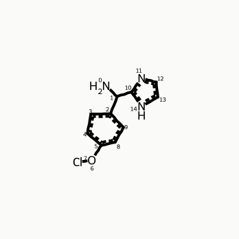 NC(c1ccc(OCl)cc1)c1ncc[nH]1